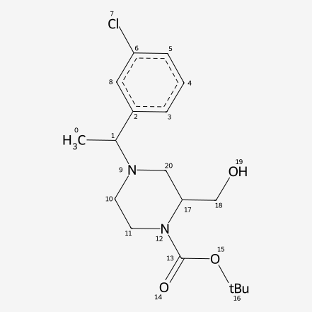 CC(c1cccc(Cl)c1)N1CCN(C(=O)OC(C)(C)C)C(CO)C1